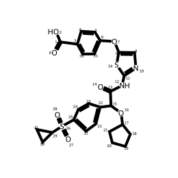 O=C(O)c1ccc(Oc2cnc(NC(=O)C(OC3CCCC3)c3ccc(S(=O)(=O)C4CC4)cc3)s2)cc1